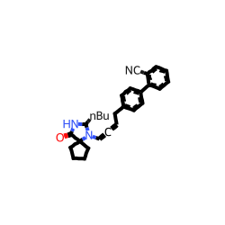 CCCCC1NC(=O)C2(CCCC2)N1C=C=CCc1ccc(-c2ccccc2C#N)cc1